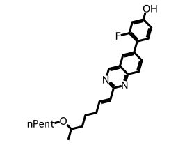 CCCCCOC(C)CCCC=Cc1ncc2cc(-c3ccc(O)cc3F)ccc2n1